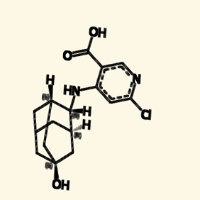 O=C(O)c1cnc(Cl)cc1N[C@@H]1[C@@H]2CC3C[C@H]1C[C@@](O)(C3)C2